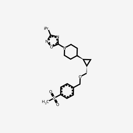 CC(C)c1noc(N2CCC([C@H]3C[C@@H]3COCc3ccc(S(C)(=O)=O)cc3)CC2)n1